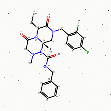 CC(C)C[C@H]1C(=O)N(Cc2ccc(F)cc2F)C[C@H]2N1C(=O)CN(C)N2C(=O)NCc1ccccc1